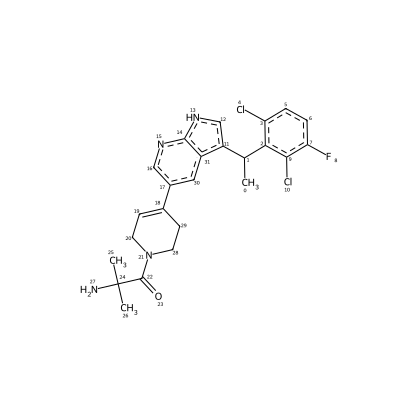 CC(c1c(Cl)ccc(F)c1Cl)c1c[nH]c2ncc(C3=CCN(C(=O)C(C)(C)N)CC3)cc12